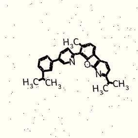 Cc1ccc2c(oc3nc(C(C)C)ccc32)c1-c1ccc(-c2cccc(C(C)C)c2)cn1